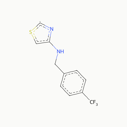 FC(F)(F)c1ccc(CNc2cs[c]n2)cc1